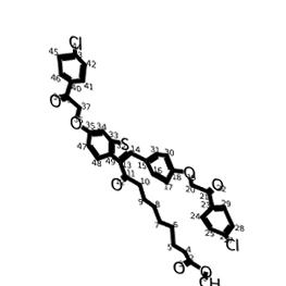 COC(=O)CCCCCCCC(=O)c1c(-c2ccc(OCC(=O)c3ccc(Cl)cc3)cc2)sc2cc(OCC(=O)c3ccc(Cl)cc3)ccc12